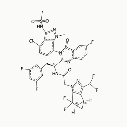 Cn1nc(NS(C)(=O)=O)c2c(Cl)ccc(-n3c([C@H](Cc4cc(F)cc(F)c4)NC(=O)Cn4nc(C(F)F)c5c4C(F)(F)[C@@H]4C[C@H]54)nc4ccc(F)cc4c3=O)c21